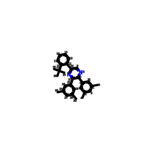 Cc1cc(C)cc(-c2ncc(-c3ccccc3C(C)(C)C)nc2-c2cc(C)cc(C)c2)c1